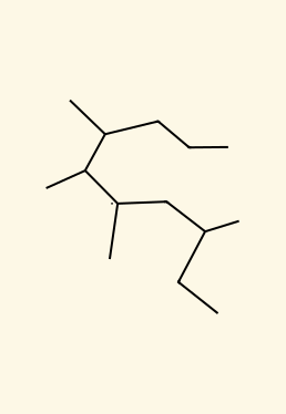 CCCC(C)C(C)[C](C)CC(C)CC